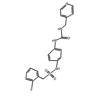 O=C(NCc1ccncc1)Nc1ccc(NS(=O)(=O)Cc2ccccc2F)cc1